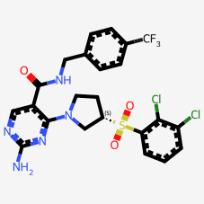 Nc1ncc(C(=O)NCc2ccc(C(F)(F)F)cc2)c(N2CC[C@H](S(=O)(=O)c3cccc(Cl)c3Cl)C2)n1